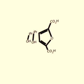 CC(C)O.CC(C)O.O=C(O)c1ccc(C(=O)O)o1